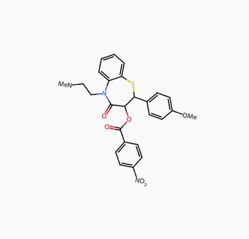 CNCCN1C(=O)C(OC(=O)c2ccc([N+](=O)[O-])cc2)C(c2ccc(OC)cc2)Sc2ccccc21